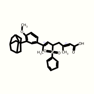 COc1ccc(/C(C)=C/C(C/C(C)=C/C(=O)O)S(=O)(=O)c2ccccc2)cc1C12CC3CC(CC(C3)C1)C2